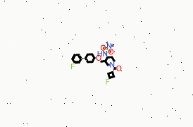 CN(C)S(=O)(=O)NC1CCN(C(=O)[C@H]2C[C@H](F)C2)CC1CO[C@H]1CC[C@@H](c2cccc(F)c2)CC1